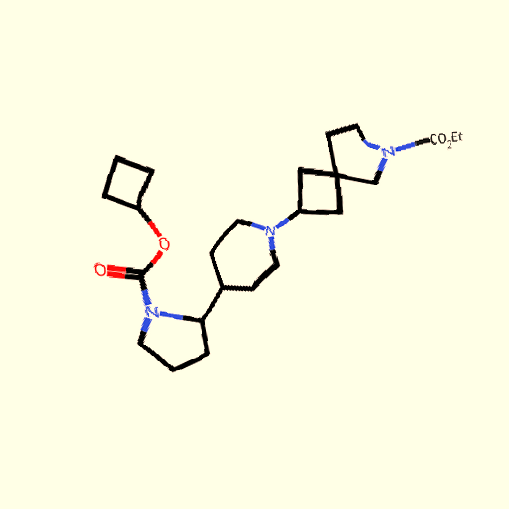 CCOC(=O)N1CCC2(CC(N3CCC(C4CCCN4C(=O)OC4CCC4)CC3)C2)C1